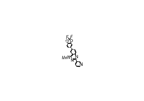 CNc1nc(-c2cccnc2)nc2ccc(-c3ccc4c(c3)OC(F)(F)O4)cc12